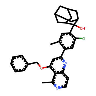 Cc1cc(C2(O)C3CC4CC(C3)CC2C4)c(Cl)cc1-c1cc(OCc2ccccc2)c2c(C)nccc2n1